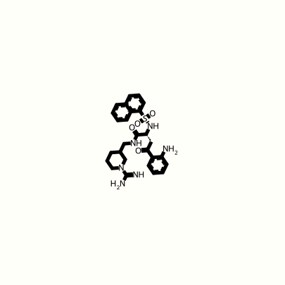 N=C(N)N1CCCC(CNC(=O)[C@@H](CC(=O)c2ccccc2N)NS(=O)(=O)c2cccc3ccccc23)C1